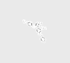 CCc1ccc(Oc2c[nH]nc2-c2ccc(OCc3ccncc3)cc2O)cc1